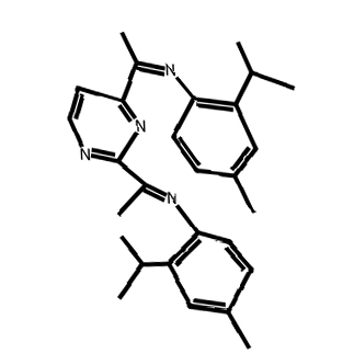 CC(=Nc1ccc(C)cc1C(C)C)c1ccnc(C(C)=Nc2ccc(C)cc2C(C)C)n1